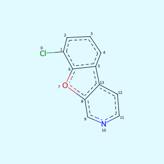 Clc1cccc2c1oc1cnccc12